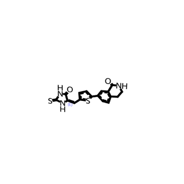 O=C1NC(=S)N/C1=C/c1ccc(-c2ccc3c(c2)C(=O)NCC3)s1